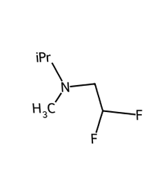 CC(C)N(C)CC(F)F